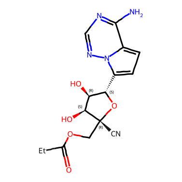 CCC(=O)OC[C@@]1(C#N)O[C@@H](c2ccc3c(N)ncnn23)[C@H](O)[C@@H]1O